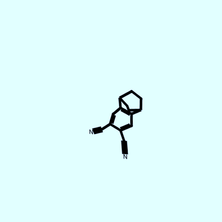 N#Cc1cc2c(cc1C#N)C1CCC2CC1